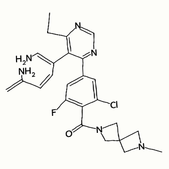 C=C(N)/C=C\C(=C/N)c1c(CC)ncnc1-c1cc(F)c(C(=O)N2CC3(CN(C)C3)C2)c(Cl)c1